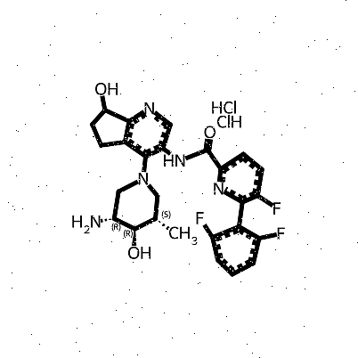 C[C@H]1CN(c2c(NC(=O)c3ccc(F)c(-c4c(F)cccc4F)n3)cnc3c2CCC3O)C[C@@H](N)[C@@H]1O.Cl.Cl